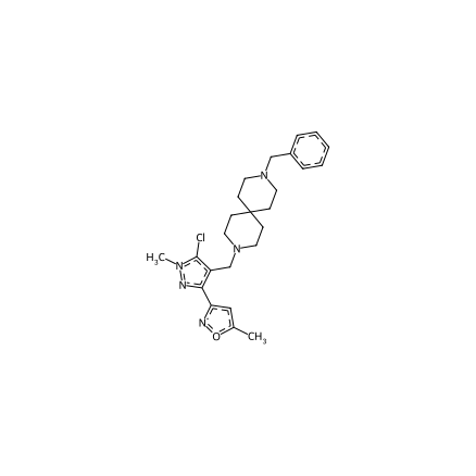 Cc1cc(-c2nn(C)c(Cl)c2CN2CCC3(CCN(Cc4ccccc4)CC3)CC2)no1